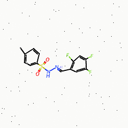 Cc1ccc(S(=O)(=O)N/N=C/c2cc(F)c(F)cc2F)cc1